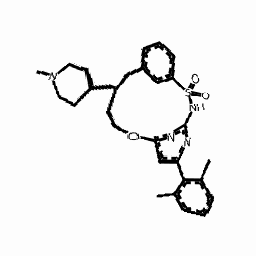 Cc1cccc(C)c1-c1cc2nc(n1)NS(=O)(=O)c1cccc(c1)CC(C1CCN(C)CC1)CCO2